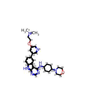 CN(C)CCOc1cncc(-c2ccc3[nH]c4ncnc(NC5CCC(N6CCOCC6)CC5)c4c3c2)c1